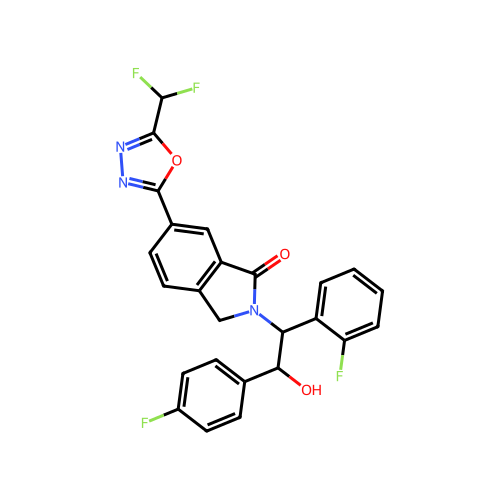 O=C1c2cc(-c3nnc(C(F)F)o3)ccc2CN1C(c1ccccc1F)C(O)c1ccc(F)cc1